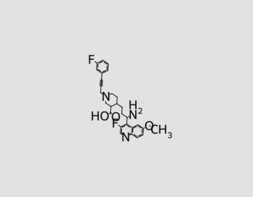 COc1ccc2ncc(F)c([C@H](N)CCC3CCN(CC#Cc4cccc(F)c4)CC3C(=O)O)c2c1